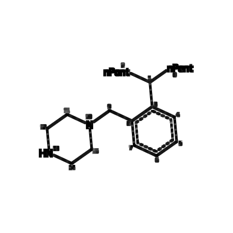 CCCCCC(CCCCC)c1ccccc1CN1CCNCC1